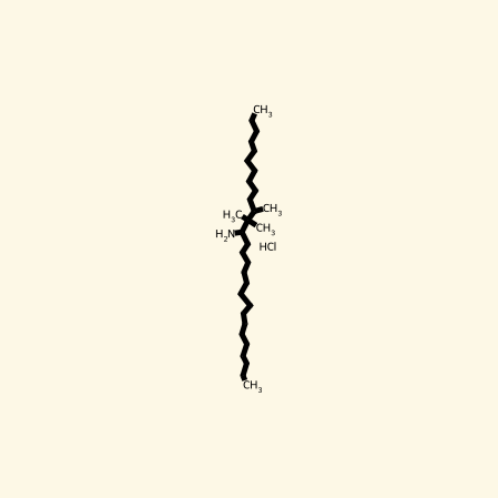 CCCCCCCCCCCCCCCC(N)C(C)(C)C(C)CCCCCCCCCC.Cl